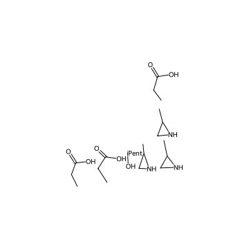 CC1CN1.CC1CN1.CC1CN1.CCC(=O)O.CCC(=O)O.CCC(=O)O.CCCC(C)O